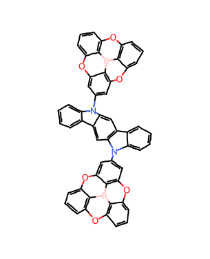 c1cc2c3c(c1)Oc1cc(-n4c5ccccc5c5cc6c(cc54)c4ccccc4n6-c4cc5c6c(c4)Oc4cccc7c4B6c4c(cccc4O5)O7)cc4c1B3c1c(cccc1O4)O2